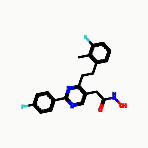 Cc1c(F)cccc1CCc1nc(-c2ccc(F)cc2)ncc1CC(=O)NO